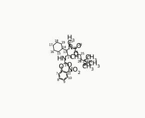 CC(NC(=O)Oc1ccccc1[N+](=O)[O-])C(C1CCCCC1)N(C)C(=O)OCC[Si](C)(C)C